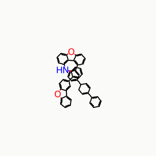 C1=CC(c2cccc(-c3cccc4oc5cccc(Nc6ccccc6-c6ccc7oc8ccccc8c7c6)c5c34)c2)CC=C1c1ccccc1